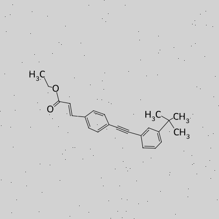 CCOC(=O)C=Cc1ccc(C#Cc2cccc(C(C)(C)C)c2)cc1